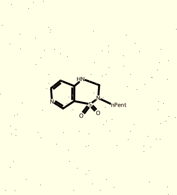 CCCCCN1CNc2ccncc2S1(=O)=O